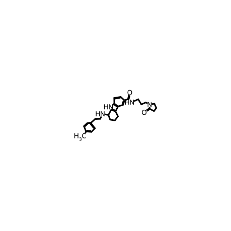 Cc1ccc(CCNC2CCCc3c2[nH]c2ccc(C(=O)NCCCN4CCCC4=O)cc32)cc1